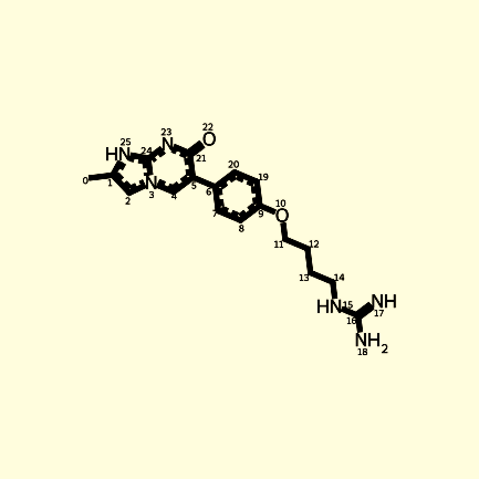 Cc1cn2cc(-c3ccc(OCCCCNC(=N)N)cc3)c(=O)nc2[nH]1